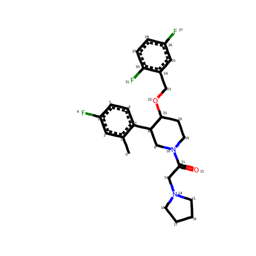 Cc1cc(F)ccc1C1CN(C(=O)CN2CCCC2)CCC1OCc1cc(F)ccc1F